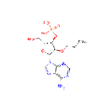 COCCO[C@@H]1[C@H](OP(=O)(O)O)[C@@H](CO)O[C@H]1n1cnc2c(N)ncnc21